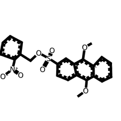 COc1c2ccccc2c(OC)c2cc(S(=O)(=O)OCc3ccccc3[N+](=O)[O-])ccc12